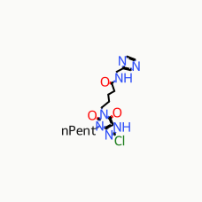 CCCCCn1c(=O)n(CCCCC(=O)NCc2cnccn2)c(=O)c2[nH]c(Cl)nc21